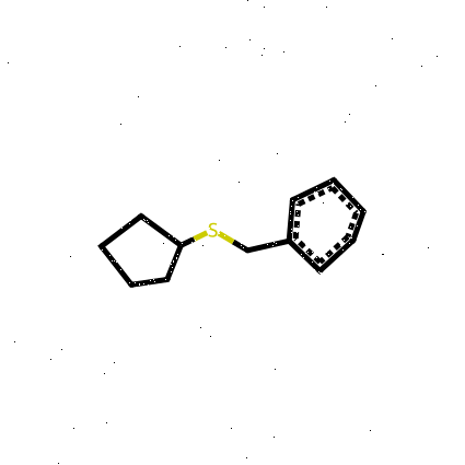 c1ccc(CSC2CCCC2)cc1